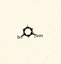 Brc1ccc[c]([SnH])c1